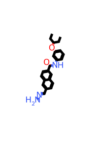 CCC(CC)Oc1cccc(NC(=O)c2ccc3cc(C=NN)ccc3c2)c1